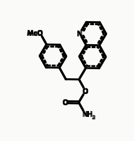 COc1ccc(CC(OC(N)=O)c2ccc3cccnc3c2)cc1